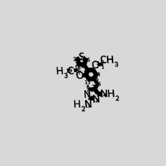 CCOc1cc(Cc2cnc(N)nc2N)cc(OCC)c1-c1ccsc1